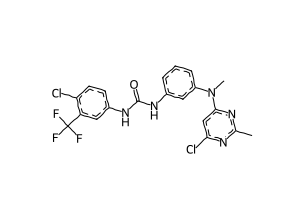 Cc1nc(Cl)cc(N(C)c2cccc(NC(=O)Nc3ccc(Cl)c(C(F)(F)F)c3)c2)n1